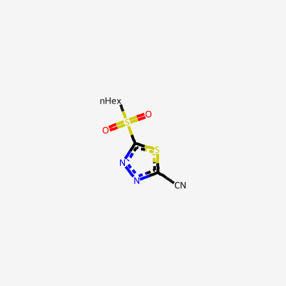 CCCCCCS(=O)(=O)c1nnc(C#N)s1